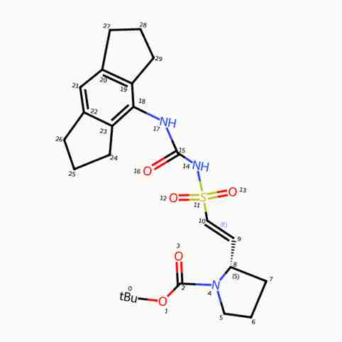 CC(C)(C)OC(=O)N1CCC[C@H]1/C=C/S(=O)(=O)NC(=O)Nc1c2c(cc3c1CCC3)CCC2